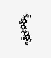 CCC1=Cc2ncc(CN3C=CC(=C4C=CC(C(=O)NC)N=C4F)CC3)cc2NC1=C=O